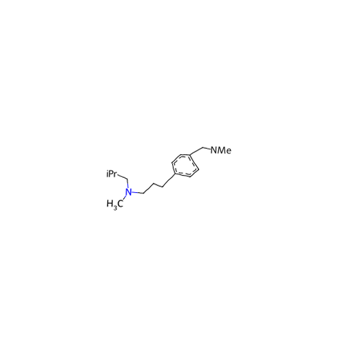 CNCc1ccc(CCCN(C)CC(C)C)cc1